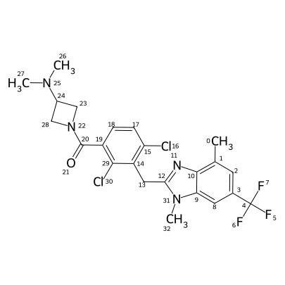 Cc1cc(C(F)(F)F)cc2c1nc(Cc1c(Cl)ccc(C(=O)N3CC(N(C)C)C3)c1Cl)n2C